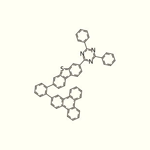 c1ccc(-c2nc(-c3ccccc3)nc(-c3ccc4c(c3)sc3cc(-c5ccccc5-c5ccc6c7ccccc7c7ccccc7c6c5)ccc34)n2)cc1